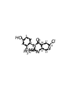 COc1cc(O)ccc1-n1c(C)nc2cnc(Cl)cc2c1=O